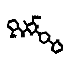 CCCc1ccccc1Nc1nc(N2CCN(c3ccccn3)CC2)nc(NC)c1C